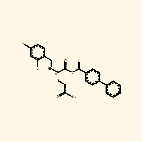 NC(=O)CC[C@H](NCc1ccc(Cl)cc1Cl)C(=O)OC(=O)c1ccc(-c2ccccc2)cc1